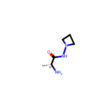 C[C@@H](N)C(=O)NN1CCC1